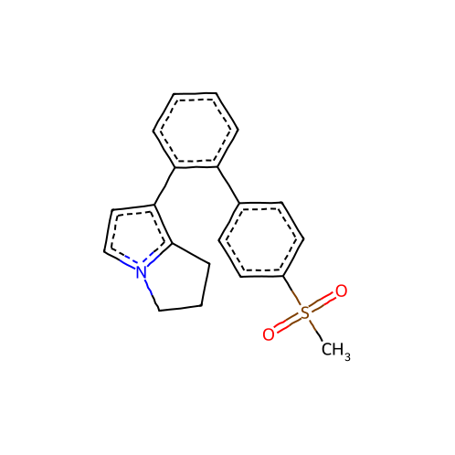 CS(=O)(=O)c1ccc(-c2ccccc2-c2ccn3c2CCC3)cc1